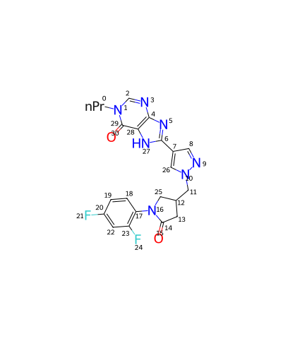 CCCn1cnc2nc(-c3cnn(CC4CC(=O)N(c5ccc(F)cc5F)C4)c3)[nH]c2c1=O